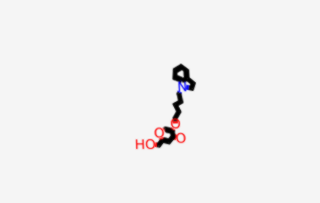 O=c1cc(CO)occ1OCCCCCN1CCc2ccccc21